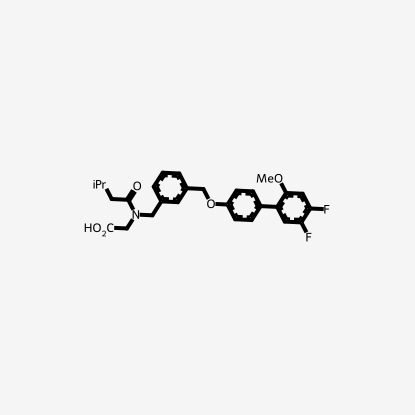 COc1cc(F)c(F)cc1-c1ccc(OCc2cccc(CN(CC(=O)O)C(=O)CC(C)C)c2)cc1